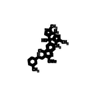 COc1nc2ccc(C(O)(c3cnc(C)n3C)c3cnc(C)n3C)cc2c(Cl)c1CNC1CCCC(C)C1